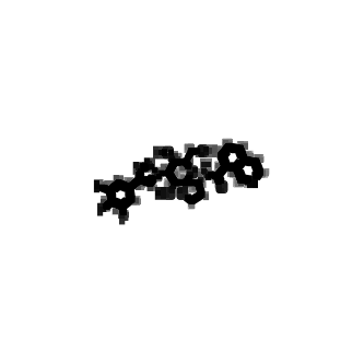 O=C(N[C@@H]1CCO[C@]12O[C@H](CO)[C@H](O)[C@H](n1cc(-c3cc(F)c(F)c(F)c3)nn1)[C@H]2O)c1cccc2ccncc12